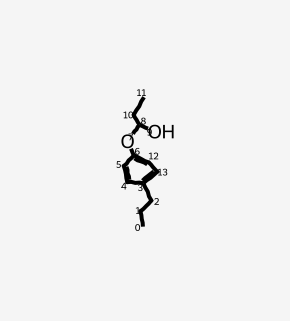 CCCc1ccc(OC(O)CC)cc1